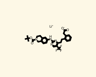 CC(C)(C)OC(=O)N1CCc2cc(Nc3ncc(C(F)(F)F)c(CCc4ccccc4CC(=O)[O-])n3)ccc2C1.[Li+]